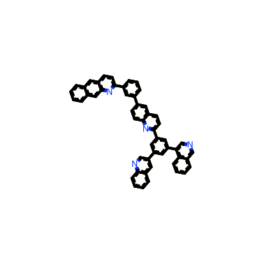 c1cc(-c2ccc3nc(-c4cc(-c5cnc6ccccc6c5)cc(-c5cncc6ccccc56)c4)ccc3c2)cc(-c2ccc3cc4ccccc4cc3n2)c1